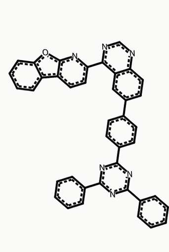 c1ccc(-c2nc(-c3ccccc3)nc(-c3ccc(-c4ccc5ncnc(-c6ccc7c(n6)oc6ccccc67)c5c4)cc3)n2)cc1